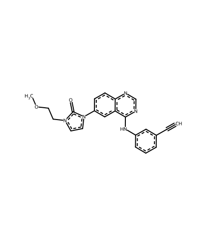 C#Cc1cccc(Nc2ncnc3ccc(-n4ccn(CCOC)c4=O)cc23)c1